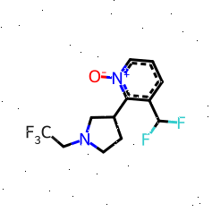 [O-][n+]1cccc(C(F)F)c1C1CCN(CC(F)(F)F)C1